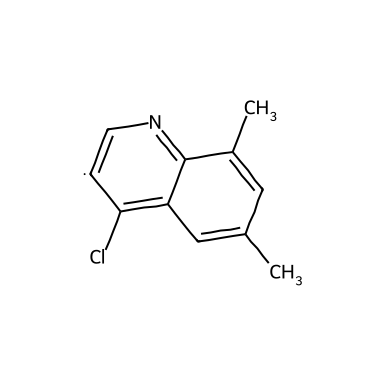 Cc1cc(C)c2nc[c]c(Cl)c2c1